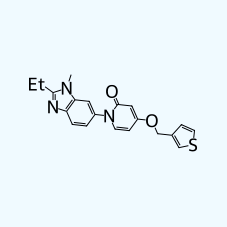 CCc1nc2ccc(-n3ccc(OCc4ccsc4)cc3=O)cc2n1C